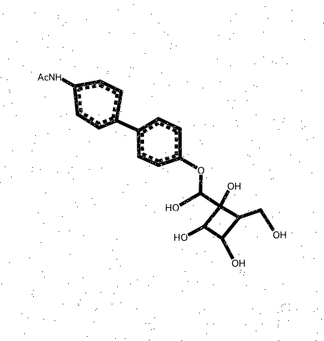 CC(=O)Nc1ccc(-c2ccc(OC(O)C3(O)C(O)C(O)C3CO)cc2)cc1